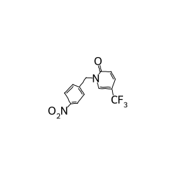 O=c1ccc(C(F)(F)F)cn1Cc1ccc([N+](=O)[O-])cc1